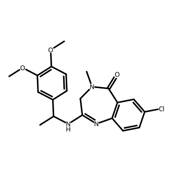 COc1ccc(C(C)NC2=Nc3ccc(Cl)cc3C(=O)N(C)C2)cc1OC